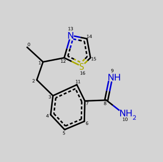 CC(Cc1cccc(C(=N)N)c1)c1nccs1